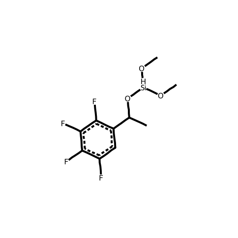 CO[SiH](OC)OC(C)c1cc(F)c(F)c(F)c1F